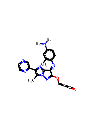 CCN(CC)c1ccc(/N=C2/C(OC=C=C=O)=Nn3c2nc(-c2cnccn2)c3C)c(C)c1